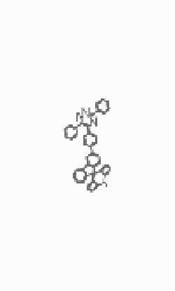 c1ccc(-c2nnc(-c3ccccc3)c(-c3ccc(-c4ccc5c(c4)-c4ccccc4C54c5ccccc5Sc5ccccc54)cc3)n2)cc1